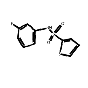 O=S(=O)(Nc1[c]c(F)ccc1)c1cccs1